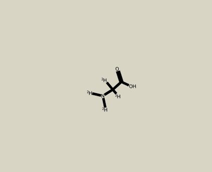 [2H]N([2H])C([2H])([2H])C(=O)O